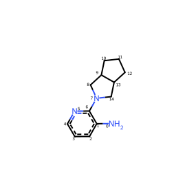 Nc1cccnc1N1CC2CCCC2C1